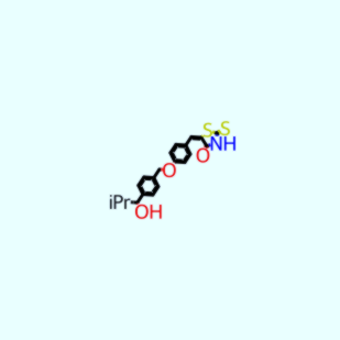 CC(C)C(O)c1ccc(COc2ccc(C=C3SC(=S)NC3=O)cc2)cc1